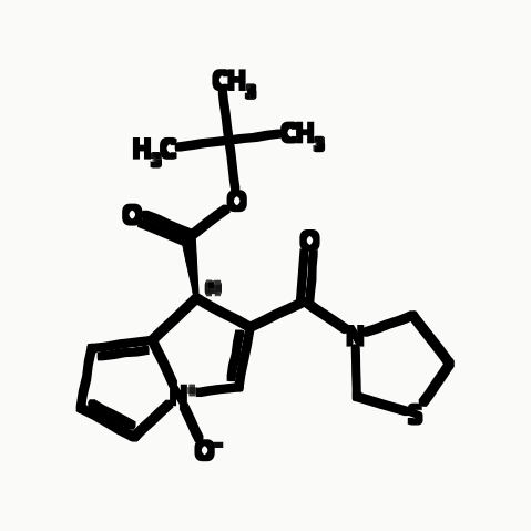 CC(C)(C)OC(=O)[C@H]1C(C(=O)N2CCSC2)=C[N+]2([O-])C=CC=C12